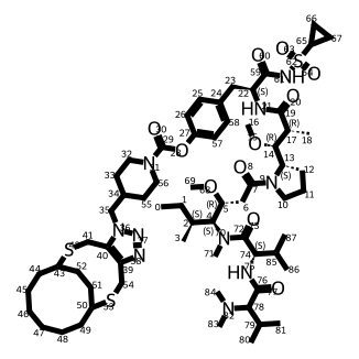 CC[C@H](C)[C@@H]([C@@H](CC(=O)N1CCC[C@H]1[C@H](OC)[C@@H](C)C(=O)N[C@@H](Cc1ccc(OC(=O)N2CCC(Cn3nnc4c3CSC3CCCCCCC(CC3)SC4)CC2)cc1)C(=O)NS(=O)(=O)C1CC1)OC)N(C)C(=O)[C@@H](NC(=O)C(C(C)C)N(C)C)C(C)C